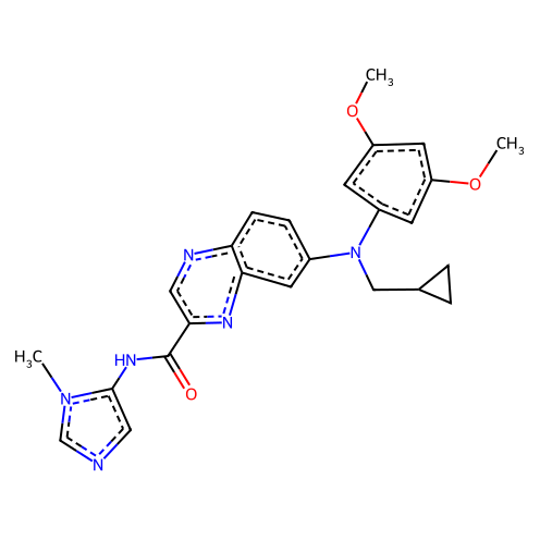 COc1cc(OC)cc(N(CC2CC2)c2ccc3ncc(C(=O)Nc4cncn4C)nc3c2)c1